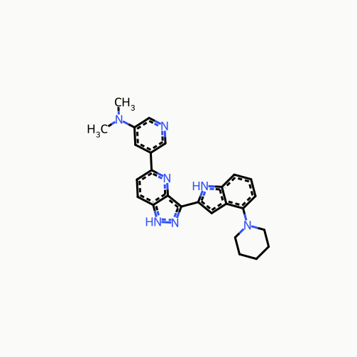 CN(C)c1cncc(-c2ccc3[nH]nc(-c4cc5c(N6CCCCC6)cccc5[nH]4)c3n2)c1